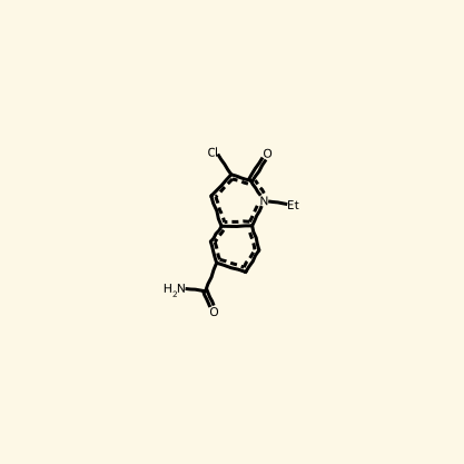 CCn1c(=O)c(Cl)cc2cc(C(N)=O)ccc21